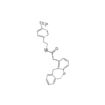 O=C(Cc1cccc2c1Cc1ccccc1CO2)NCCc1ccc(C(=O)O)cc1